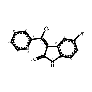 N#C/C(=C1/C(=O)Nc2ccc(Br)cc21)c1ccccn1